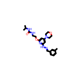 Cc1cccc(C=NNc2cc(N3CCOCC3)cc(OCCNC(=O)NC(C)C)n2)c1